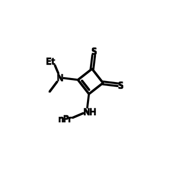 CCCNc1c(N(C)CC)c(=S)c1=S